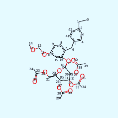 CCc1ccc(Cc2ccc(OCOC)cc2O[C@@H]2O[C@H](COC(C)=O)[C@@H](OC(C)=O)[C@H](OC(C)=O)[C@H]2OC(C)=O)cc1